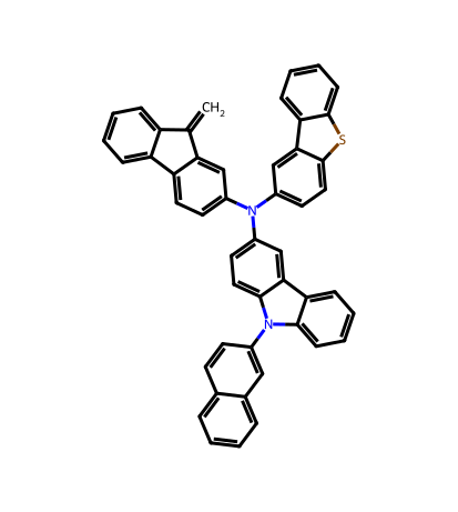 C=C1c2ccccc2-c2ccc(N(c3ccc4sc5ccccc5c4c3)c3ccc4c(c3)c3ccccc3n4-c3ccc4ccccc4c3)cc21